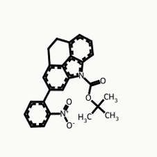 CC(C)(C)OC(=O)n1c2cccc3c2c2c(cc(-c4ccccc4[N+](=O)[O-])cc21)CC3